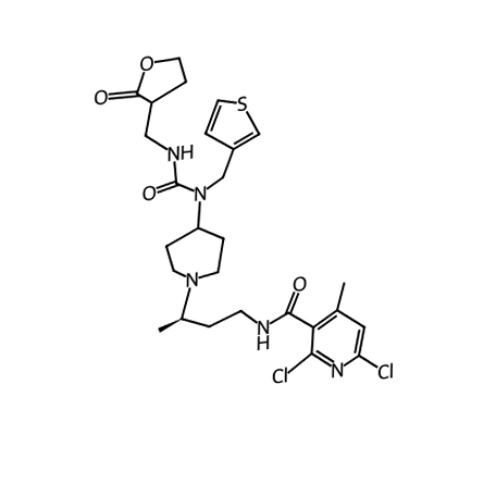 Cc1cc(Cl)nc(Cl)c1C(=O)NCC[C@@H](C)N1CCC(N(Cc2ccsc2)C(=O)NCC2CCOC2=O)CC1